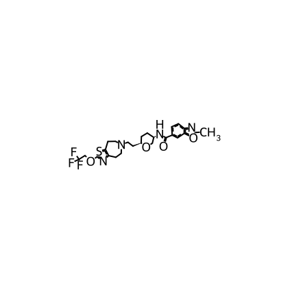 Cc1nc2ccc(C(=O)N[C@H]3CC[C@H](CCN4CCc5nc(OCC(F)(F)F)sc5CC4)OC3)cc2o1